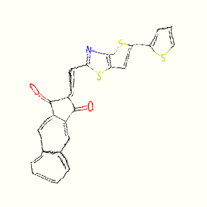 O=C1C(=Cc2nc3sc(-c4cccs4)cc3s2)C(=O)c2cc3ccccc3cc21